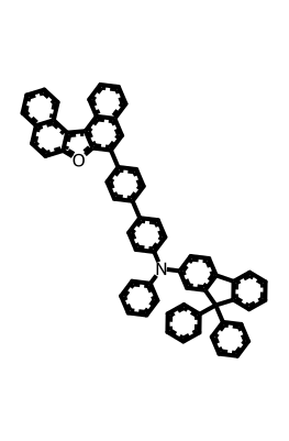 c1ccc(N(c2ccc(-c3ccc(-c4cc5ccccc5c5c4oc4ccc6ccccc6c45)cc3)cc2)c2ccc3c(c2)C(c2ccccc2)(c2ccccc2)c2ccccc2-3)cc1